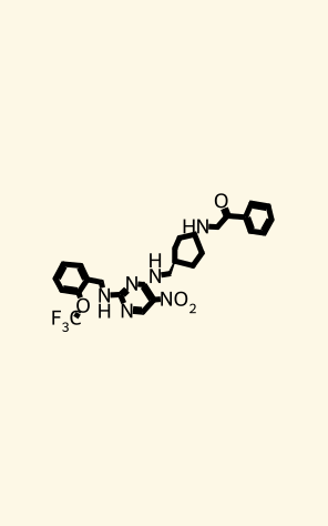 O=C(CN[C@H]1CC[C@H](CNc2nc(NCc3ccccc3OC(F)(F)F)ncc2[N+](=O)[O-])CC1)c1ccccc1